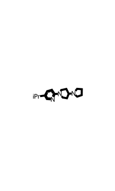 CC(C)c1ccc(N2CCC(N3CCCC3)CC2)nc1